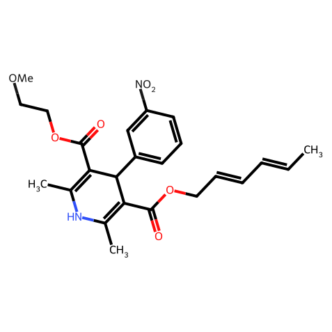 CC=CC=CCOC(=O)C1=C(C)NC(C)=C(C(=O)OCCOC)C1c1cccc([N+](=O)[O-])c1